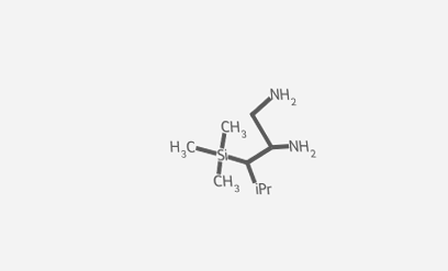 CC(C)C(C(N)CN)[Si](C)(C)C